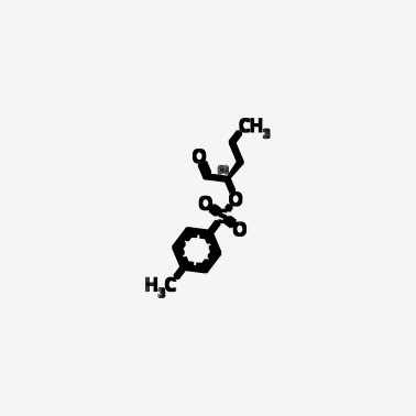 CCC[C@H](C=O)OS(=O)(=O)c1ccc(C)cc1